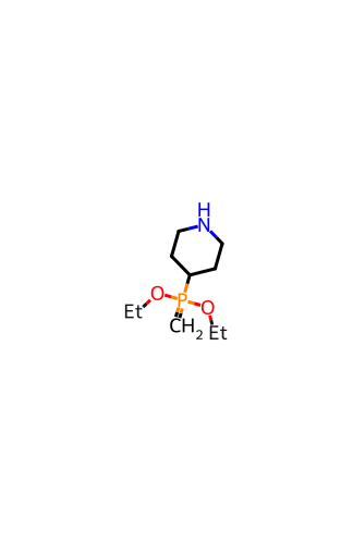 C=P(OCC)(OCC)C1CCNCC1